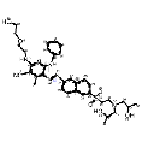 Cc1c(C#N)c(NCCOCCO)nc(Nc2ccccc2)c1/N=N/c1ccc2cc(S(=O)(=O)CCN(CC(C)O)CC(C)O)ccc2c1